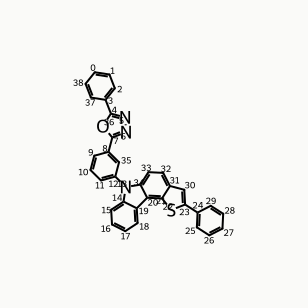 c1ccc(-c2nnc(-c3cccc(-n4c5ccccc5c5c6sc(-c7ccccc7)cc6ccc54)c3)o2)cc1